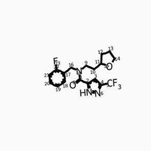 O=C(c1cc(C(F)(F)F)n[nH]1)N(CCC1CCCO1)Cc1ccccc1F